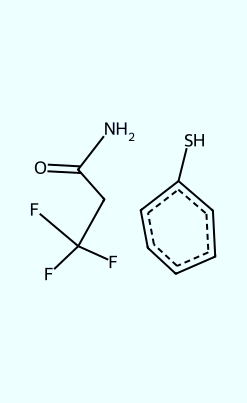 NC(=O)CC(F)(F)F.Sc1ccccc1